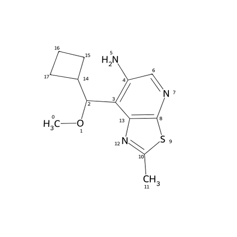 COC(c1c(N)cnc2sc(C)nc12)C1CCC1